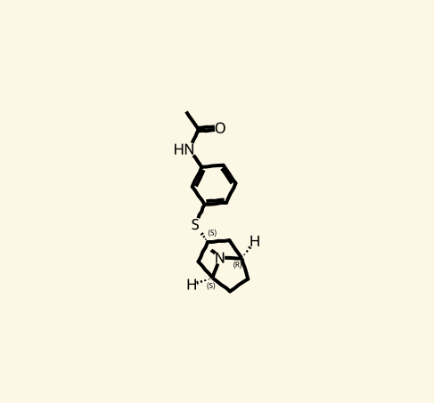 CC(=O)Nc1cccc(S[C@@H]2C[C@H]3CC[C@@H](C2)N3C)c1